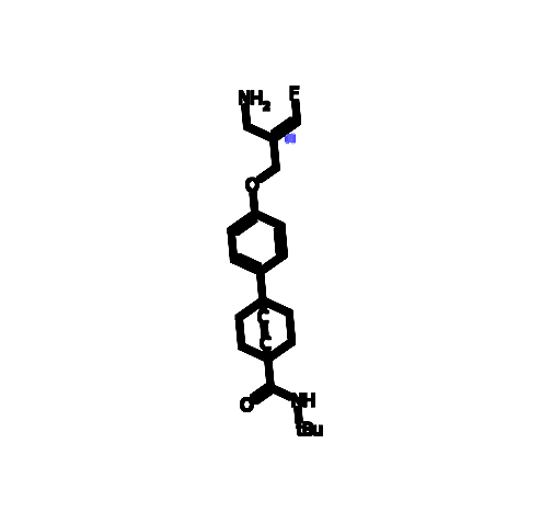 CC(C)(C)NC(=O)C12CCC(c3ccc(OC/C(=C/F)CN)cc3)(CC1)CC2